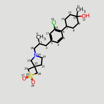 C[C@@H](Cc1ccc(C2CCC(C)(O)CC2)c(Cl)c1)CN1CCC2(C1)CS(=O)(=O)C2